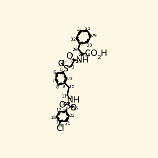 O=C(C[S+]([O-])c1cccc(CCNS(=O)(=O)c2ccc(Cl)cc2)c1)NC(Cc1ccccc1)C(=O)O